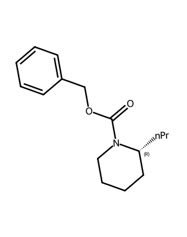 CCC[C@@H]1CCCCN1C(=O)OCc1ccccc1